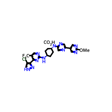 COc1ncc(-c2cnc(N(C(=O)O)[C@H]3CC[C@H](Nc4ncc(C(F)(F)F)c(-c5n[nH]cc5Cl)n4)CC3)cn2)cn1